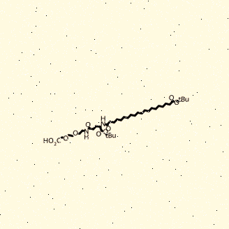 CC(C)(C)OC(=O)CCCCCCCCCCCCCCCCCCC(=O)NC(CCC(=O)NCCOCCOCC(=O)O)C(=O)OC(C)(C)C